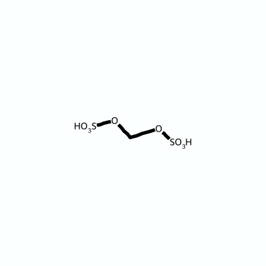 O=S(=O)(O)OCOS(=O)(=O)O